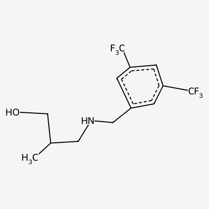 CC(CO)CNCc1cc(C(F)(F)F)cc(C(F)(F)F)c1